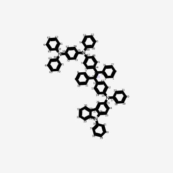 c1ccc(/C(=C(/c2ccccc2)c2ccc(N(c3ccccc3)c3ccc4c(c3)c3ccccc3n4-c3ccccc3)cc2)c2ccc(N(c3ccccc3)c3ccc(N(c4ccccc4)c4ccccc4)cc3)cc2)cc1